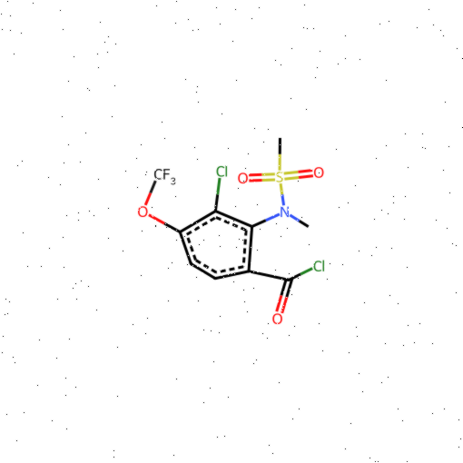 CN(c1c(C(=O)Cl)ccc(OC(F)(F)F)c1Cl)S(C)(=O)=O